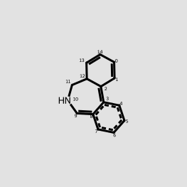 C1=CC2=c3ccccc3=CNCC2C=C1